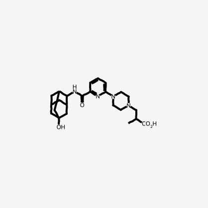 CC(CN1CCN(c2cccc(C(=O)NC3C4CC5CC3CC(O)(C5)C4)n2)CC1)C(=O)O